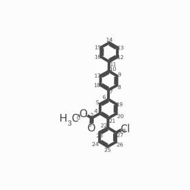 COC(=O)c1cc(-c2ccc(-c3ccccc3)cc2)ccc1-c1ccccc1Cl